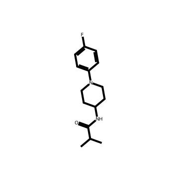 CC(C)C(=O)NC1CCN(c2ccc(F)cc2)CC1